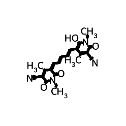 CCN1C(=O)C(C#N)=C(C)/C(=C/C=CC=Cc2c(C)c(C#N)c(=O)n(CC)c2O)C1=O